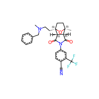 CN(CC[C@]12CC[C@](C)(O1)[C@@H]1C(=O)N(c3ccc(C#N)c(C(F)(F)F)c3)C(=O)[C@@H]12)Cc1ccccc1